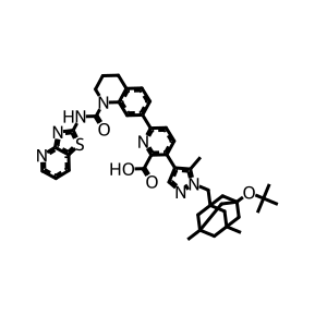 Cc1c(-c2ccc(-c3ccc4c(c3)N(C(=O)Nc3nc5ncccc5s3)CCC4)nc2C(=O)O)cnn1CC12CC3(C)CC(C)(C1)CC(OC(C)(C)C)(C3)C2